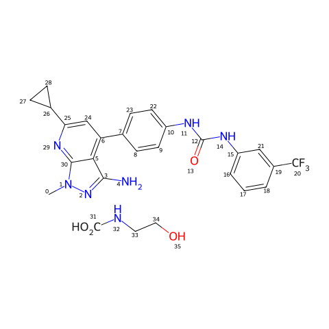 Cn1nc(N)c2c(-c3ccc(NC(=O)Nc4cccc(C(F)(F)F)c4)cc3)cc(C3CC3)nc21.O=C(O)NCCO